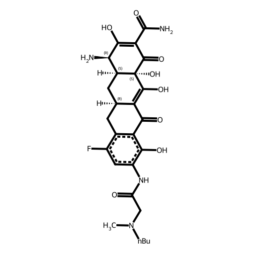 CCCCN(C)CC(=O)Nc1cc(F)c2c(c1O)C(=O)C1=C(O)[C@]3(O)C(=O)C(C(N)=O)=C(O)[C@H](N)[C@@H]3C[C@@H]1C2